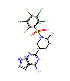 C[C@H]1CC[C@@H](c2nc(N)c3cc[nH]c3n2)CN1S(=O)(=O)c1c(F)c(F)c(F)c(F)c1F